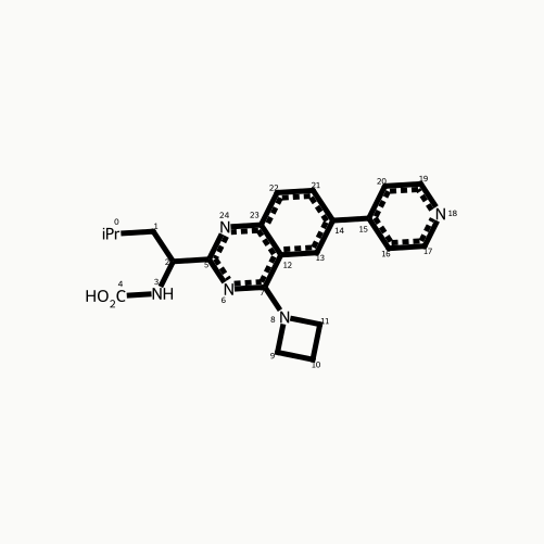 CC(C)CC(NC(=O)O)c1nc(N2CCC2)c2cc(-c3ccncc3)ccc2n1